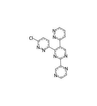 Clc1ccc(-c2nc(-c3cnccn3)ncc2-c2cccnn2)nn1